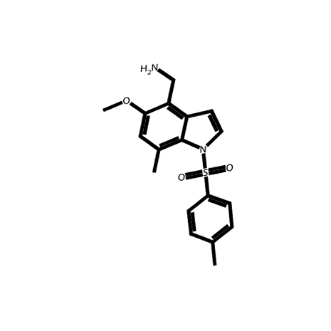 COc1cc(C)c2c(ccn2S(=O)(=O)c2ccc(C)cc2)c1CN